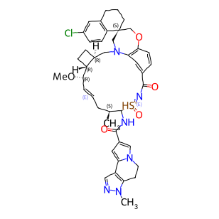 CO[C@H]1/C=C/C[C@H](C)C(NC(=O)c2cc3n(c2)CCc2c-3cnn2C)/[SH](=O)=N\C(=O)c2ccc3c(c2)N(C[C@@H]2CC[C@H]21)C[C@@]1(CCCc2cc(Cl)ccc21)CO3